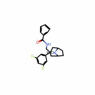 CN1C2CCC1CC(CNC(=O)c1ccccc1)(c1cc(F)cc(F)c1)C2